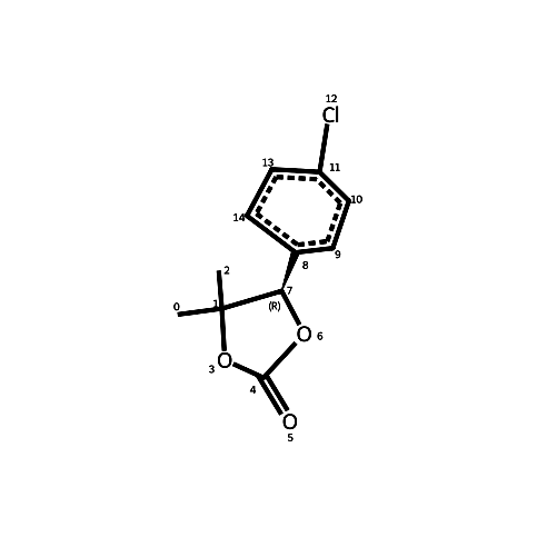 CC1(C)OC(=O)O[C@@H]1c1ccc(Cl)cc1